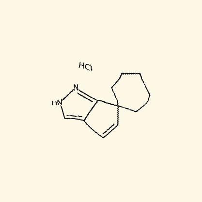 C1=CC2(CCCCC2)c2n[nH]cc21.Cl